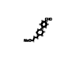 COCCCN1CCN(c2ccc(C=O)cc2)CC1